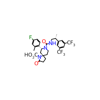 Cc1cc(F)ccc1[C@H]1C[C@]2(CCC(=O)N2C(=O)O)CCN1C(=O)NC[C@H](C)c1cc(C(F)(F)F)cc(C(F)(F)F)c1